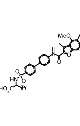 COc1c(C)ccc2oc(C(=O)Nc3ccc(-c4ccc(S(=O)(=O)NC(C(=O)O)C(C)C)cc4)cc3)c(C)c12